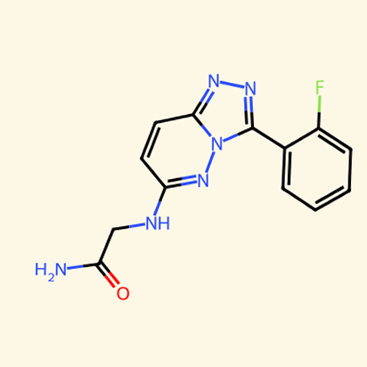 NC(=O)CNc1ccc2nnc(-c3ccccc3F)n2n1